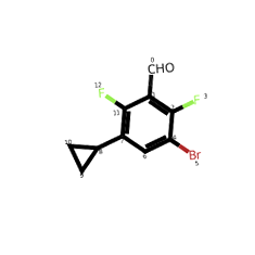 O=Cc1c(F)c(Br)cc(C2CC2)c1F